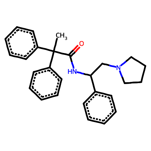 CC(C(=O)NC(CN1CCCC1)c1ccccc1)(c1ccccc1)c1ccccc1